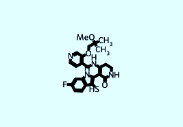 COC(C)(C)COc1cnccc1CNC1=C(c2[nH]c3cc(F)ccc3c2S)C(=O)NCC1